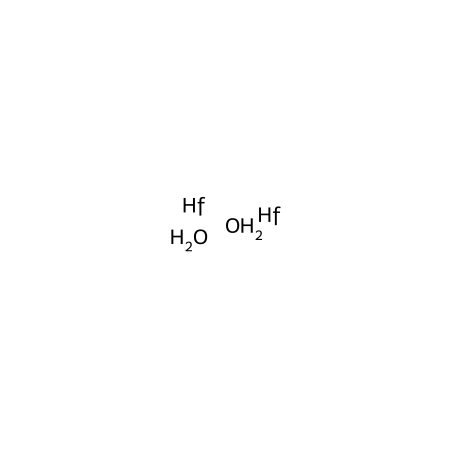 O.O.[Hf].[Hf]